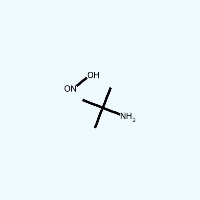 CC(C)(C)N.O=NO